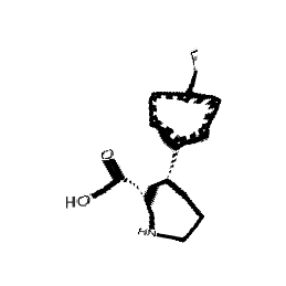 O=C(O)[C@H]1NCC[C@H]1c1ccc(F)cc1